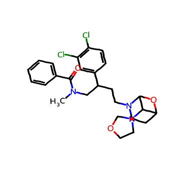 CN(CC(CCN1CCC2OC1C2N1CCOC1)c1ccc(Cl)c(Cl)c1)C(=O)c1ccccc1